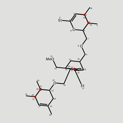 CCC1=C2CC(C)C(COCC3CC4(COC)OC(CC)=C3CC4COC34CC(C)=C(CC3C)C(C)O4)(CC2C)O1